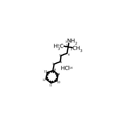 CC(C)(N)CCCCc1ccccc1.Cl